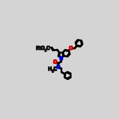 CCOC(=O)C=CCc1cn(CC(=O)N(C)CCc2ccccc2)c2ccc(OCc3ccccc3)cc12